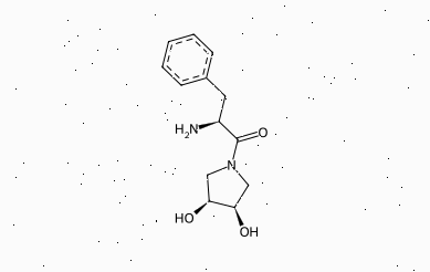 N[C@@H](Cc1ccccc1)C(=O)N1C[C@@H](O)[C@@H](O)C1